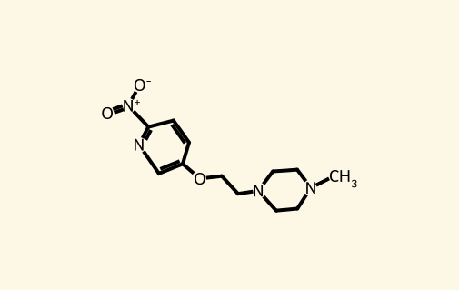 CN1CCN(CCOc2ccc([N+](=O)[O-])nc2)CC1